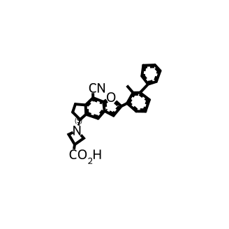 Cc1c(-c2ccccc2)cccc1-c1cc2cc3c(c(C#N)c2o1)CC[C@@H]3N1CC(C(=O)O)C1